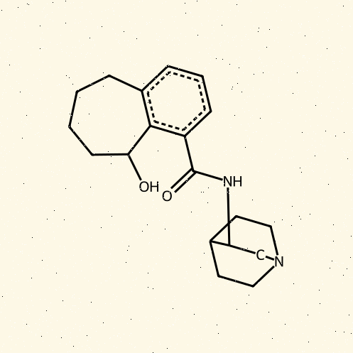 O=C(NC1CN2CCC1CC2)c1cccc2c1C(O)CCCC2